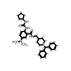 CN(C)c1ccc(NC(=O)NC2CCCC2)c(C(=O)NCC2CCN(C(c3ccccc3)c3ccccc3)CC2)c1